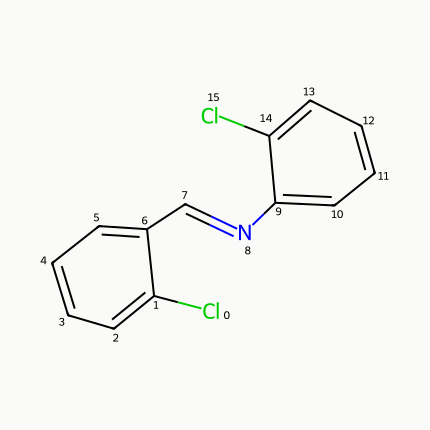 Clc1ccccc1/C=N/c1ccccc1Cl